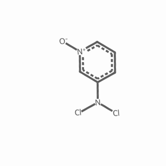 [O-][n+]1cccc(N(Cl)Cl)c1